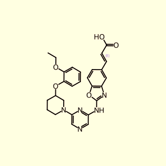 CCOc1ccccc1OC1CCCN(c2cncc(Nc3nc4cc(/C=C/C(=O)O)ccc4o3)n2)C1